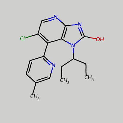 CCC(CC)n1c(O)nc2ncc(Cl)c(-c3ccc(C)cn3)c21